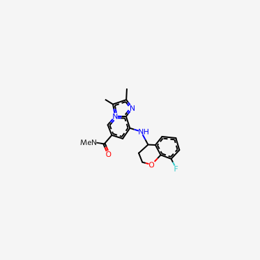 CNC(=O)c1cc(NC2CCOc3c(F)cccc32)c2nc(C)c(C)n2c1